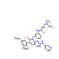 COc1cc(OC)c(F)c(-c2cc3cnc(Nc4cccnc4)nc3n(Cc3cccc(NC(=O)/C=C/CN(C)C)c3)c2=O)c1F